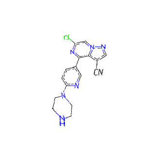 N#Cc1cnn2cc(Cl)nc(-c3ccc(N4CCNCC4)nc3)c12